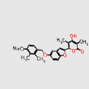 COc1ccc(COc2ccc3oc(-c4oc(=O)c(C)c(O)c4C)cc3c2)c(C)c1C